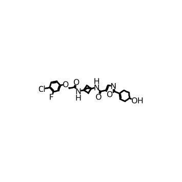 O=C(COc1ccc(Cl)c(F)c1)NC12CC(NC(=O)c3cnc(C4=CCC(O)CC4)o3)(C1)C2